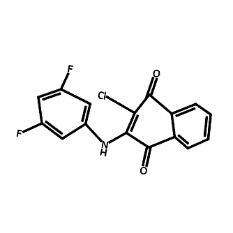 O=C1C(Cl)=C(Nc2cc(F)cc(F)c2)C(=O)c2ccccc21